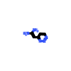 NC(N)=Cc1ccnnn1